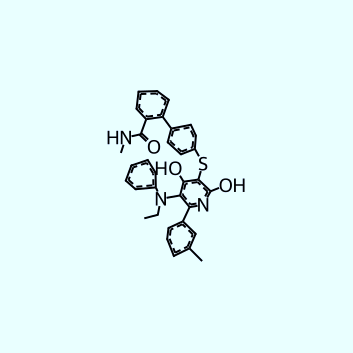 CCN(c1ccccc1)c1c(-c2cccc(C)c2)nc(O)c(Sc2ccc(-c3ccccc3C(=O)NC)cc2)c1O